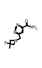 CC1(F)CN(Cc2cc(C(N)=O)ncn2)C1